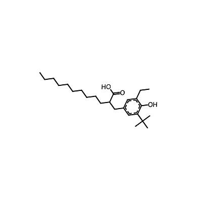 CCCCCCCCCCC(Cc1cc(CC)c(O)c(C(C)(C)C)c1)C(=O)O